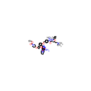 CN(C)CCCC[C@H](NC(=O)C1(C(=O)O)CCC1)C(=O)Nc1ccc(COc2ccccc2-c2cc(N3CC4CCC(C3)N4c3ccnc(OC4CC(OC5CCN(C(=O)OC(C)(C)C)CC5)C4)c3)c(N)nn2)cc1